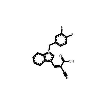 N#CC(=Cc1cn(Cc2ccc(F)c(F)c2)c2ccccc12)C(=O)O